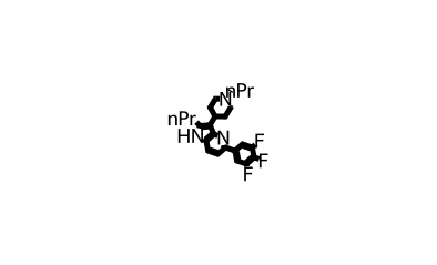 CCCc1[nH]c2ccc(-c3cc(F)c(F)c(F)c3)nc2c1C1CCN(CCC)CC1